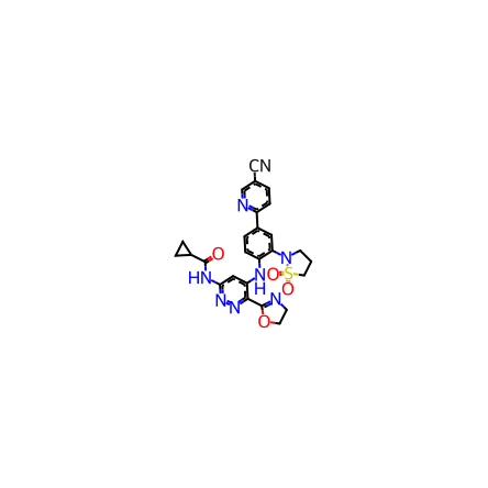 N#Cc1ccc(-c2ccc(Nc3cc(NC(=O)C4CC4)nnc3C3=NCCO3)c(N3CCCS3(=O)=O)c2)nc1